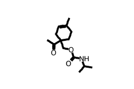 CC(=O)C1(COC(=O)NC(C)C)CC=C(C)CC1